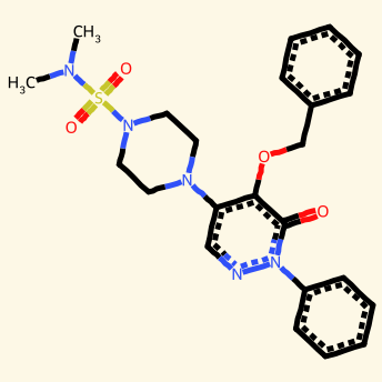 CN(C)S(=O)(=O)N1CCN(c2cnn(-c3ccccc3)c(=O)c2OCc2ccccc2)CC1